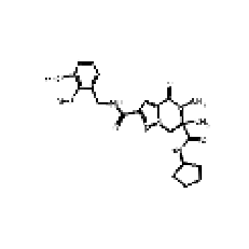 COc1cccc(CNC(=O)c2cc3n(n2)CC(C)(C(=O)NC2CCCC2)N(C)C3=O)c1OC